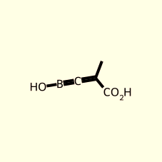 CC(=C=BO)C(=O)O